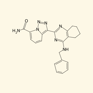 NC(=O)c1cccc2c(-c3nc4c(c(NCc5ccccc5)n3)CCCC4)nnn12